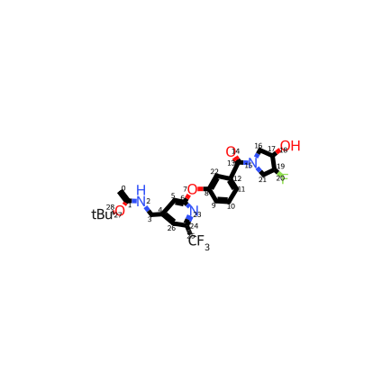 C=C(NCc1cc(Oc2cccc(C(=O)N3CC(O)C(F)C3)c2)nc(C(F)(F)F)c1)OC(C)(C)C